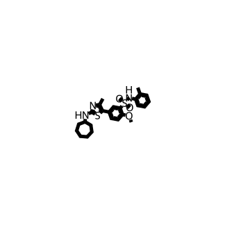 COc1ccc(-c2sc(NC3CCCCCC3)nc2C)cc1S(=O)(=O)Nc1ccccc1C